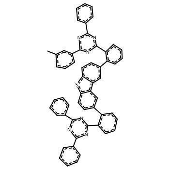 Cc1cccc(-c2nc(-c3ccccc3)nc(-c3ccccc3-c3ccc4sc5ccc(-c6ccccc6-c6nc(-c7ccccc7)nc(-c7ccccc7)n6)cc5c4c3)n2)c1